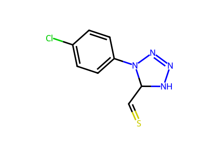 S=CC1NN=NN1c1ccc(Cl)cc1